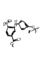 COC(=O)c1ccc([N+](=O)[O-])c(Nc2ccc(OC(F)(F)F)cc2)c1